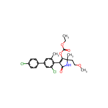 CCOC(=O)OC1=C(c2c(C)cc(-c3ccc(Cl)cc3)cc2Cl)C(=O)NC1(C)CCOC